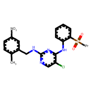 Cc1ccc([N+](=O)[O-])cc1CNc1ncc(Cl)c(Nc2ccccc2S(=O)(=O)C(C)C)n1